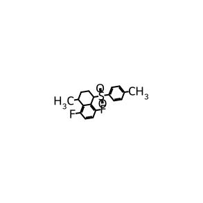 Cc1ccc(S(=O)(=O)C2CCC(C)c3c(F)ccc(F)c32)cc1